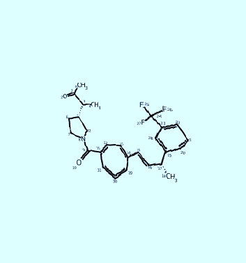 CC(=O)C(C)[C@H]1CCN(C(=O)C2=CC=C(/C=C/[C@@H](C)c3cccc(C(F)(F)F)c3)C=C=C2)C1